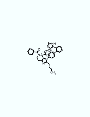 CCCCc1nc2c(n1-c1ccc(-c3ccccc3-c3nnn[nH]3)cc1)C(C)(C(=O)OC)N(C(=O)c1ccccc1)CC2